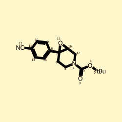 CC(C)(C)OC(=O)N1CCC2(c3ccc(C#N)cc3)OC2C1